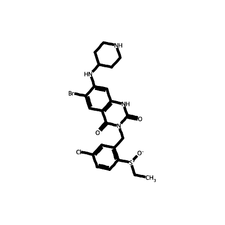 CC[S+]([O-])c1ccc(Cl)cc1Cn1c(=O)[nH]c2cc(NC3CCNCC3)c(Br)cc2c1=O